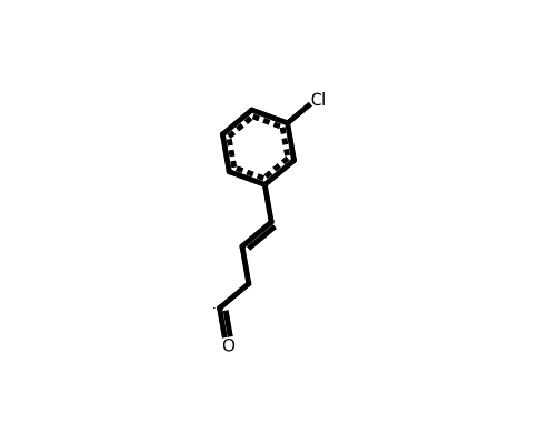 O=[C]CC=Cc1cccc(Cl)c1